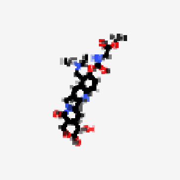 CN(C)Cc1c(OC(=O)NCC(=O)OC(C)(C)C)ccc2nc3c(cc12)Cn1c-3cc2c(c1=O)COC(=O)[C@H]2O